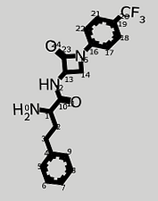 NC(CCc1ccccc1)C(=O)NC1CN(c2ccc(C(F)(F)F)cc2)C1=O